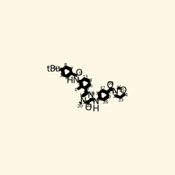 Cc1c(NC(=O)c2ccc(C(C)(C)C)cc2)cccc1-c1cn(C)c(=O)c(Nc2ccc(C(=O)N3CCCOC3)cc2)n1